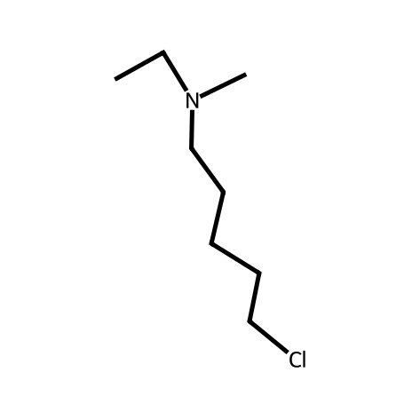 CCN(C)CCCCCCl